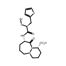 CC(=O)S[C@@H](Cc1cccs1)C(=O)N[C@H]1CCCN2CCC[C@@H](C(=O)O)N2C1=O